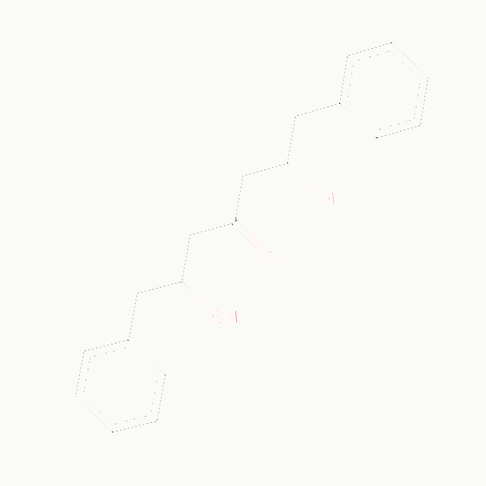 O=C(CC(O)Cc1ccccc1)CC(O)Cc1ccccc1